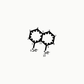 [Se]c1cccc2cccc([Se])c12